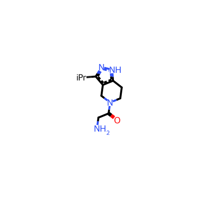 CC(C)c1n[nH]c2c1CN(C(=O)CN)CC2